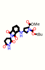 COC(=O)[C@@H]1C[C@H](Nc2cccc3c2C(=O)N(C2CCC(=O)NC2=O)C3=O)CN1C(=O)OC(C)(C)C